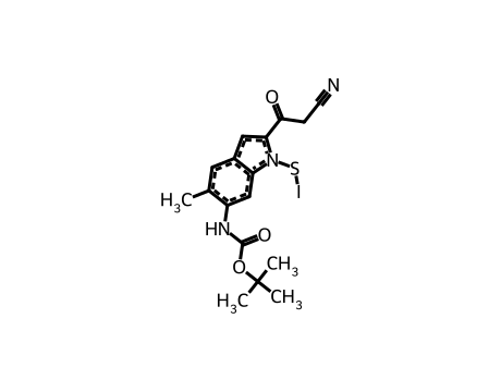 Cc1cc2cc(C(=O)CC#N)n(SI)c2cc1NC(=O)OC(C)(C)C